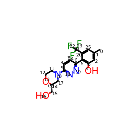 Cc1cc(O)c(-c2ccc(N3CCO[C@H](CO)C3)nn2)c(C(F)(F)F)c1